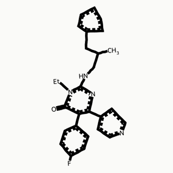 CCn1c(NCC(C)Cc2ccccc2)nc(-c2ccncc2)c(-c2ccc(F)cc2)c1=O